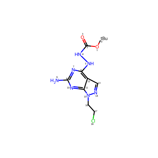 CC(C)(C)OC(=O)NNc1nc(N)nc2c1cnn2CCCl